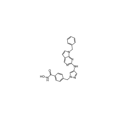 O=C(NO)c1ccc(Cn2cc(Nc3ncc4ccn(Cc5ccccc5)c4n3)cn2)cc1